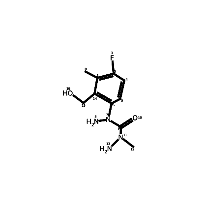 Cc1c(F)ccc(N(N)C(=O)N(C)N)c1CO